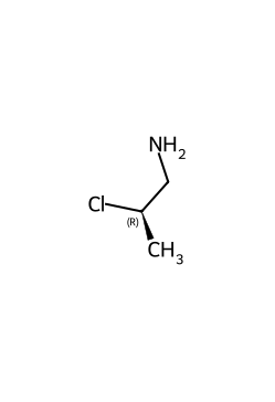 C[C@@H](Cl)CN